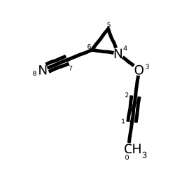 CC#CON1CC1C#N